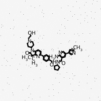 Cn1cc(-c2cnc(N)c(C(=O)N[C@H]3CCC[C@@H]3OCc3ccc(-c4ccc5c(n4)C(C)(C)C(=O)N5C4CCN(CCO)CC4)cc3)c2)cn1